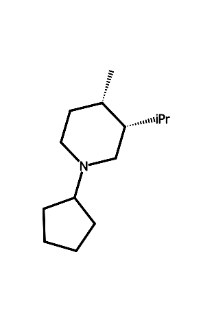 CC(C)[C@@H]1CN(C2CCCC2)CC[C@@H]1C